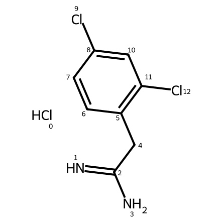 Cl.N=C(N)Cc1ccc(Cl)cc1Cl